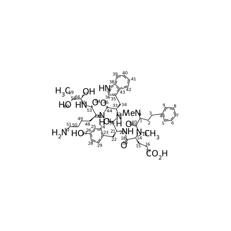 CNC(CCc1ccccc1)C(=O)N(C)[C@@H](CCC(=O)O)C(=O)N[C@@H](Cc1ccc(O)cc1)C(=O)N[C@H](Cc1c[nH]c2ccccc12)C(=O)N[C@@H](CCCCN)C(=O)N[C@H](O)[C@@H](C)O